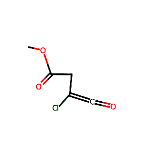 COC(=O)CC(Cl)=C=O